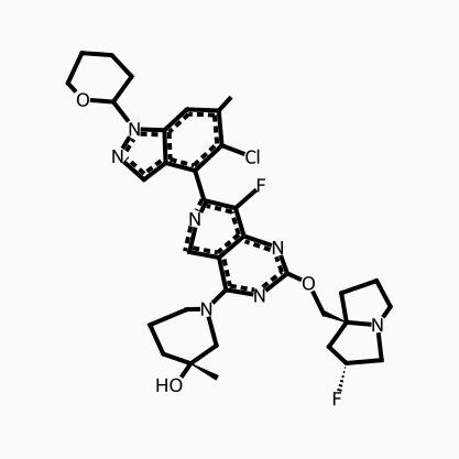 Cc1cc2c(cnn2C2CCCCO2)c(-c2ncc3c(N4CCC[C@@](C)(O)C4)nc(OC[C@@]45CCCN4C[C@H](F)C5)nc3c2F)c1Cl